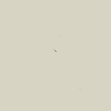 CC(C)O[C@H](COC(=O)OC1CCNCC1)CN(C)S(C)(=O)=O